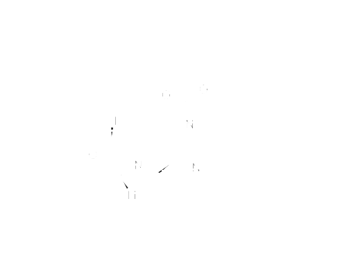 C[C@@H]1CN(Cc2ccccc2)[C@@H](CN2C[C@@H]3C[C@H]2CO3)CN1C(=O)OC(C)(C)C